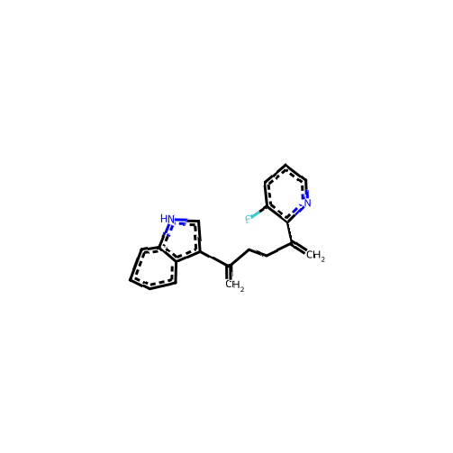 C=C(CCC(=C)c1c[nH]c2ccccc12)c1ncccc1F